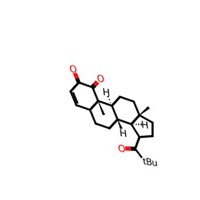 CC(C)(C)C(=O)C1CC[C@@]2(C)CC[C@H]3[C@@H](CCC4C=CC(=O)C(=O)[C@@]43C)[C@H]12